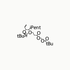 C=CC(O[Si](C)(C)C(C)(C)C)[C@@H](OCCC(=O)OCOC(=O)C(C)(C)C)[C@H](C)CCC